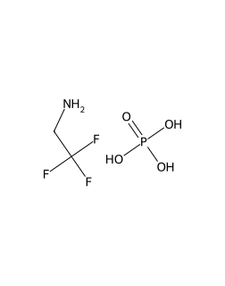 NCC(F)(F)F.O=P(O)(O)O